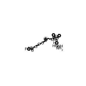 N=C(N)Nc1ccc(CC(NC(=O)OCCCc2cn(CCOCCOCCOCCNC(=O)c3ccc(F)cc3)nn2)P(=O)(Oc2ccccc2)Oc2ccccc2)cc1